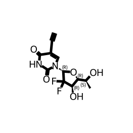 C#Cc1cn([C@@H]2O[C@H]([C@H](C)O)[C@@H](O)C2(F)F)c(=O)[nH]c1=O